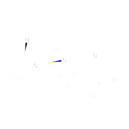 CCOC(=O)c1nc2ccccc2n([C@H]2CC3C=C[C@H](C2)N3C(=O)OCc2ccccc2)c1=O